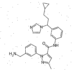 Cc1cc(C(=O)Nc2cccc(C(CCC3CC3)n3ccnc3)c2)n(-c2cccc(CN)c2)n1